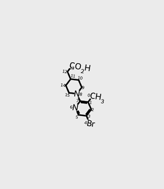 Cc1cc(Br)cnc1N1CCC(CC(=O)O)CC1